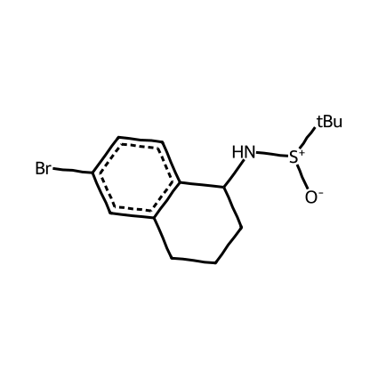 CC(C)(C)[S+]([O-])NC1CCCc2cc(Br)ccc21